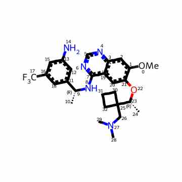 COc1cc2ncnc(N[C@H](C)c3cc(N)cc(C(F)(F)F)c3)c2cc1O[C@H](C)C1(CN(C)C)CCC1